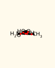 CCCCCCCCCCCCCCCCCC(N)=O.O=C(O)c1ccc(C(=O)O)cc1